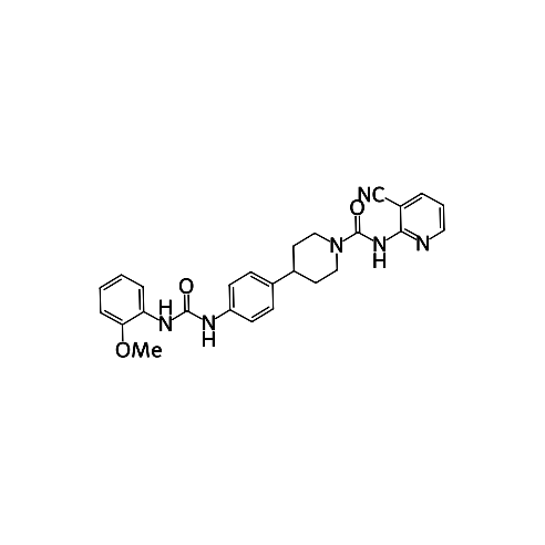 COc1ccccc1NC(=O)Nc1ccc(C2CCN(C(=O)Nc3ncccc3C#N)CC2)cc1